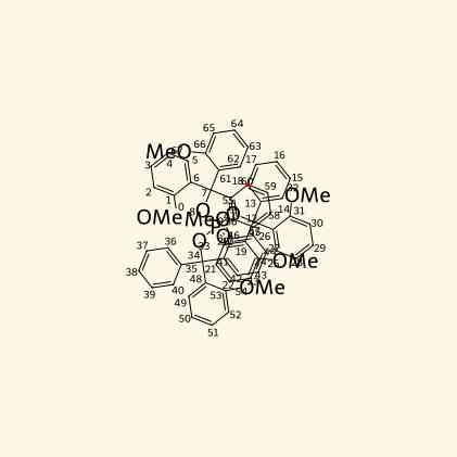 COc1ccccc1C(OP(=O)(OC(c1ccccc1)(c1ccccc1OC)c1ccccc1OC)OC(c1ccccc1)(c1ccccc1OC)c1ccccc1OC)(c1ccccc1)c1ccccc1OC